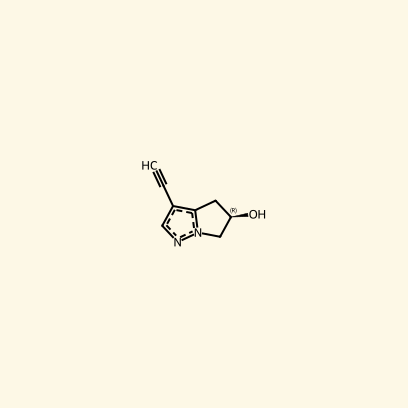 C#Cc1cnn2c1C[C@@H](O)C2